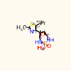 Cc1nc(-c2cc3oc2NP(=O)(O)N3)c(C(C)C)s1